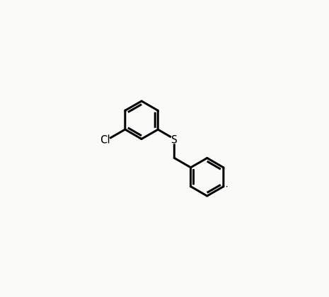 Clc1cccc(SCc2cc[c]cc2)c1